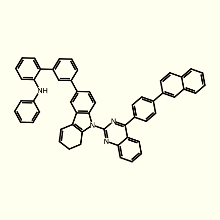 C1=Cc2c(n(-c3nc(-c4ccc(-c5ccc6ccccc6c5)cc4)c4ccccc4n3)c3ccc(-c4cccc(-c5ccccc5Nc5ccccc5)c4)cc23)CC1